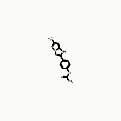 CC(=O)Nc1ccc(-c2nn3nc(C)cc3[nH]2)cc1